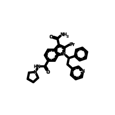 CC(C)c1c(C(N)=O)c2ccc(C(=O)NN3CCCC3)cc2n1C(Cc1cccnc1)c1ccccc1